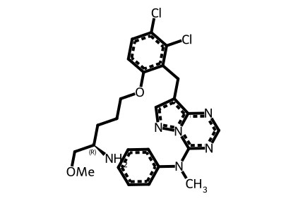 COC[C@H](N)CCCOc1ccc(Cl)c(Cl)c1Cc1cnn2c(N(C)c3ccccc3)ncnc12